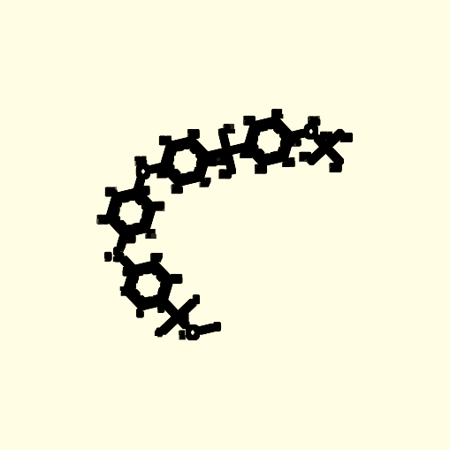 COC(C)(C)c1ccc(Sc2ccc(Oc3ccc(C(C)(C)c4ccc(OC(C)(C)C)cc4)cc3)cc2)cc1